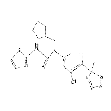 CC1(c2ccc(C(CC3CCCC3)C(=O)Nc3nccs3)cc2Cl)N=NN=N1